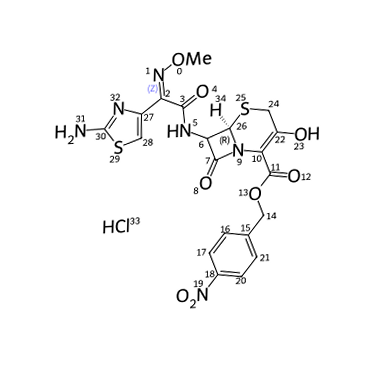 CO/N=C(\C(=O)NC1C(=O)N2C(C(=O)OCc3ccc([N+](=O)[O-])cc3)=C(O)CS[C@H]12)c1csc(N)n1.Cl